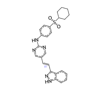 O=S(=O)(c1ccc(Nc2ncc(/C=C/c3n[nH]c4ccccc34)cn2)cc1)C1CCCCC1